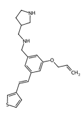 C=CCOc1cc(/C=C/c2ccsc2)cc(CNCC2CCNC2)c1